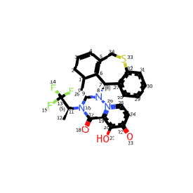 CC1CC=CC2=C1[C@@H](N1CN([C@@H](C)C(F)(F)F)C(=O)c3c(O)c(=O)ccn31)c1ccccc1SC2